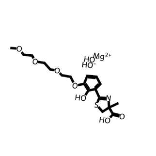 COCCOCCOCCOc1cccc(C2=NC(C)(C(=O)O)CS2)c1O.[Mg+2].[OH-].[OH-]